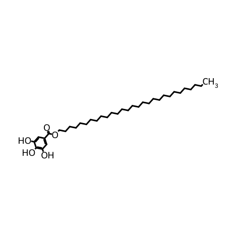 CCCCCCCCCCCCCCCCCCCCCCCCCCCCCOC(=O)c1cc(O)c(O)c(O)c1